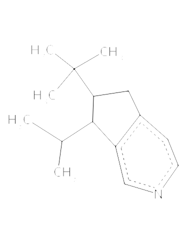 CC(C)C1c2cnccc2CC1C(C)(C)C